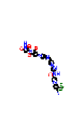 CN(C(=O)c1ccc(N2CCC3(CC2)CN(CC2CCN(c4ccc(NC(=O)C5CCN(c6ccc(C#N)c(C(F)(F)F)c6)CC5)cn4)CC2)C3)cc1C=O)C1CCC(=O)NC1=O